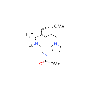 CCN(CCNC(=O)OC)C(C)c1ccc(OC)c(CN2CCCC2)c1